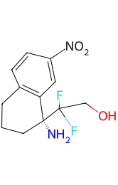 N[C@]1(C(F)(F)CO)CCCc2ccc([N+](=O)[O-])cc21